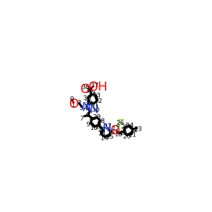 COCCn1c(C(C)c2ccc(-c3cccc(OCc4ccc(C)cc4F)n3)cc2)nc2ccc(C(=O)O)cc21